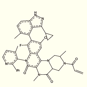 C=CC(=O)N1CC2C(=O)N(C)c3c(c4cc(Cl)c(-c5c(C)ccc6[nH]nc(C7CC7)c56)c(F)c4n(-c4c(C)ccnc4C(C)C)c3=O)N2CC1C